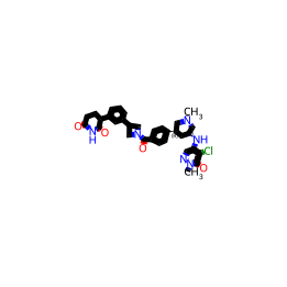 CN1C[C@H](Nc2cnn(C)c(=O)c2Cl)C[C@H](c2ccc(C(=O)N3CC(c4cccc(C5CCC(=O)NC5=O)c4)C3)cc2)C1